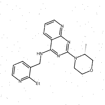 CCc1ncccc1CNc1nc(N2CCOC[C@H]2C)nc2ncccc12